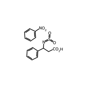 O=C(O)CC(N=S(=O)=O)c1ccccc1.O=[N+]([O-])c1ccccc1